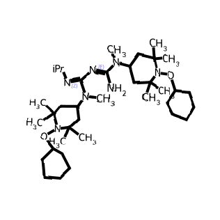 CC(C)/N=C(\N=C(/N)N(C)C1CC(C)(C)N(OC2CCCCC2)C(C)(C)C1)N(C)C1CC(C)(C)N(OC2CCCCC2)C(C)(C)C1